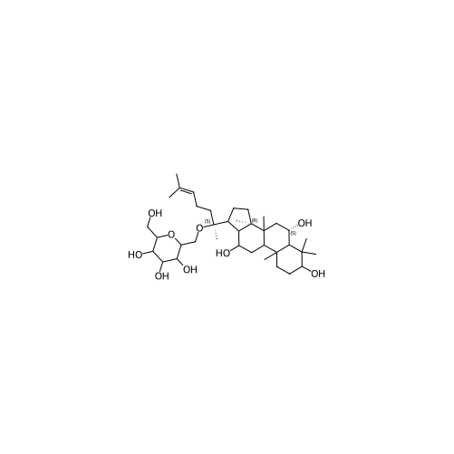 CC(C)=CCC[C@](C)(OCC1OC(CO)C(O)C(O)C1O)C1CC[C@]2(C)C1C(O)CC1C3(C)CCC(O)C(C)(C)C3[C@@H](O)CC12C